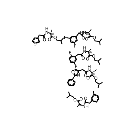 CC(C)COC(=O)[C@H](C)NC(=O)Cc1cc(F)cc(F)c1.CC(C)COC(=O)[C@H](C)NC(=O)Cc1cc(F)ccc1F.CC(C)COC(=O)[C@H](C)NC(=O)Cc1ccsc1.CC(C)COC(=O)[C@H](C)NC(=O)Cc1coc(-c2ccccc2)n1.Cc1cccc(CC(=O)N[C@@H](C)C(=O)OCC(C)C)c1